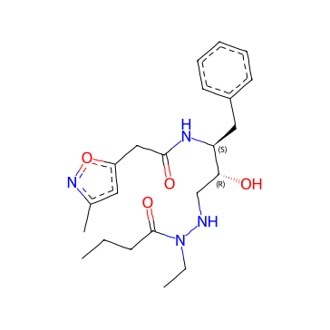 CCCC(=O)N(CC)NC[C@@H](O)[C@H](Cc1ccccc1)NC(=O)Cc1cc(C)no1